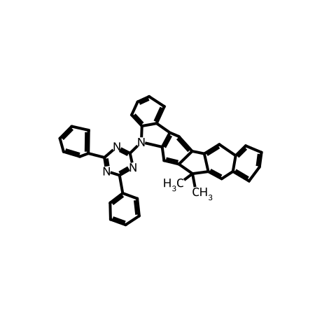 CC1(C)c2cc3ccccc3cc2-c2cc3c4ccccc4n(-c4nc(-c5ccccc5)nc(-c5ccccc5)n4)c3cc21